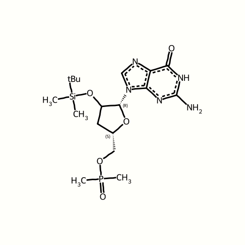 CC(C)(C)[Si](C)(C)OC1C[C@@H](COP(C)(C)=O)O[C@H]1n1cnc2c(=O)[nH]c(N)nc21